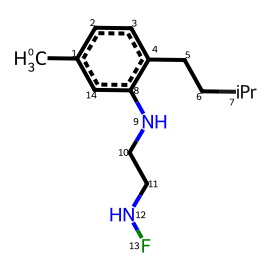 Cc1ccc(CCC(C)C)c(NCCNF)c1